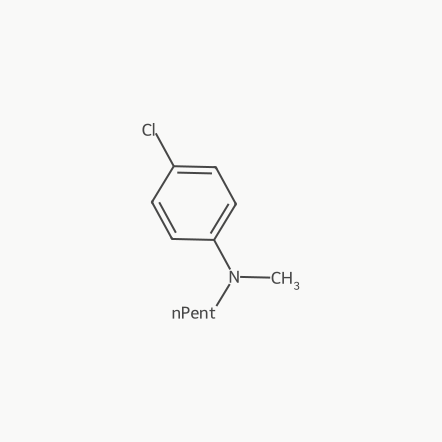 CCCCCN(C)c1ccc(Cl)cc1